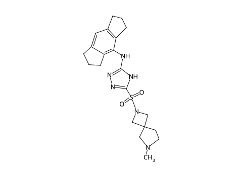 CN1CCC2(C1)CN(S(=O)(=O)c1nnc(Nc3c4c(cc5c3CCC5)CCC4)[nH]1)C2